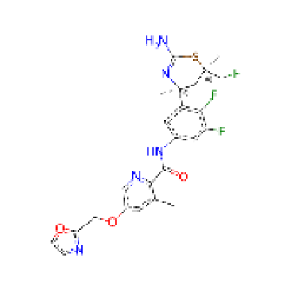 Cc1cc(OCc2ncco2)cnc1C(=O)Nc1cc(F)c(F)c([C@]2(C)C[C@](C)(CF)SC(N)=N2)c1